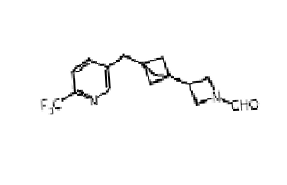 O=CN1CC(C23CC(Cc4ccc(C(F)(F)F)nc4)(C2)C3)C1